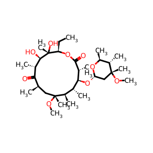 CC[C@H]1OC(=O)[C@H](C)[C@@H](O[C@H]2C[C@@](C)(OC)[C@@H](C)[C@H](C)O2)[C@H](C)[C@@H](C)[C@](C)(OC)C[C@@H](C)C(=O)[C@H](C)[C@@H](O)[C@]1(C)O